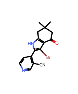 CC1(C)CC(=O)c2c([nH]c(-c3ccncc3C#N)c2Br)C1